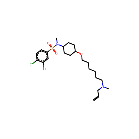 C=CCN(C)CCCCCCOC1CCC(N(C)S(=O)(=O)c2ccc(Cl)c(Cl)c2)CC1